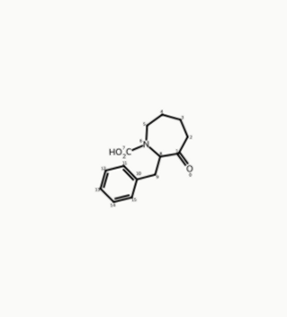 O=C1CCCCN(C(=O)O)C1Cc1ccccc1